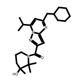 CC(C)c1cc(CC2CCCCC2)nc2cc(C(=O)N3CCCC(C)(O)C3(C)C)nn12